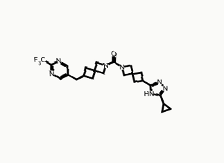 O=C(N1CC2(CC(Cc3cnc(C(F)(F)F)nc3)C2)C1)N1CC2(CC(c3nnc(C4CC4)[nH]3)C2)C1